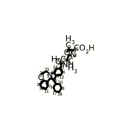 Cc1oc(C(C)(C)NC(=O)c2ccc3c(C4CCCCC4)c4n(c3c2)CCOc2ccccc2-4)nc1C(=O)O